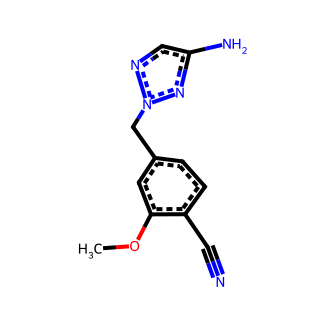 COc1cc(Cn2ncc(N)n2)ccc1C#N